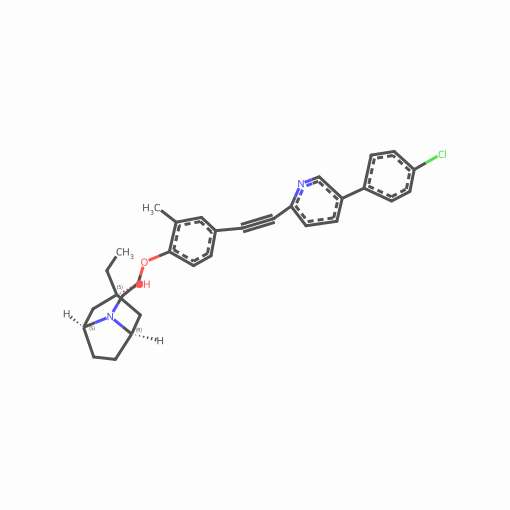 CC[C@@]1(O)C[C@H]2CC[C@@H](C1)N2CCOc1ccc(C#Cc2ccc(-c3ccc(Cl)cc3)cn2)cc1C